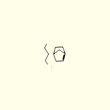 C1=C2CCC(C1)C2.CCCCO